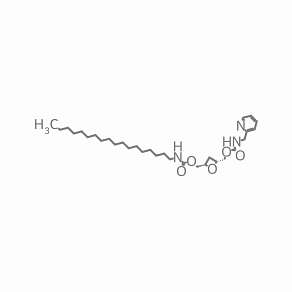 CCCCCCCCCCCCCCCCCCNC(=O)OC[C@H]1C[C@H](COC(=O)NCc2ccccn2)O1